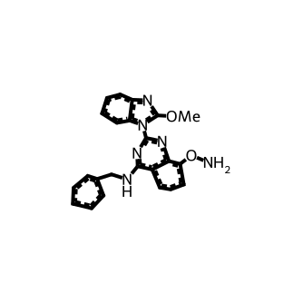 COc1nc2ccccc2n1-c1nc(NCc2ccccc2)c2cccc(ON)c2n1